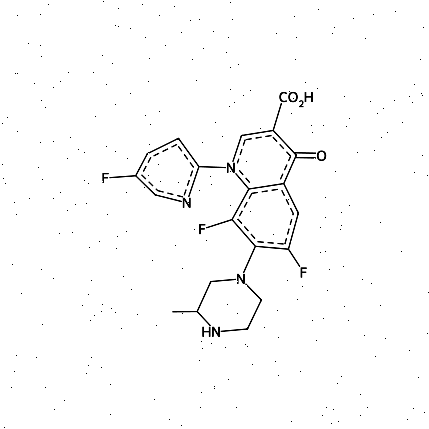 CC1CN(c2c(F)cc3c(=O)c(C(=O)O)cn(-c4ccc(F)cn4)c3c2F)CCN1